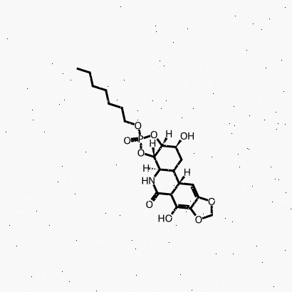 CCCCCCCOP1(=O)O[C@@H]2[C@H](O1)[C@@H](O)CC1[C@@H]3C=C4OCOC4=C(O)C3C(=O)N[C@H]12